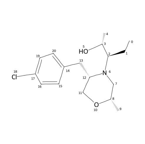 CC[C@H]([C@@H](C)O)N1C[C@H](C)OC[C@@H]1Cc1ccc(Cl)cc1